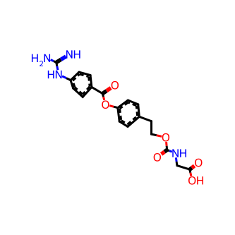 N=C(N)Nc1ccc(C(=O)Oc2ccc(CCOC(=O)NCC(=O)O)cc2)cc1